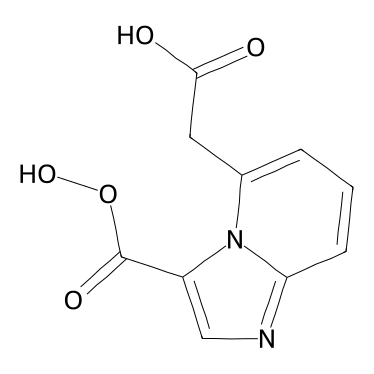 O=C(O)Cc1cccc2ncc(C(=O)OO)n12